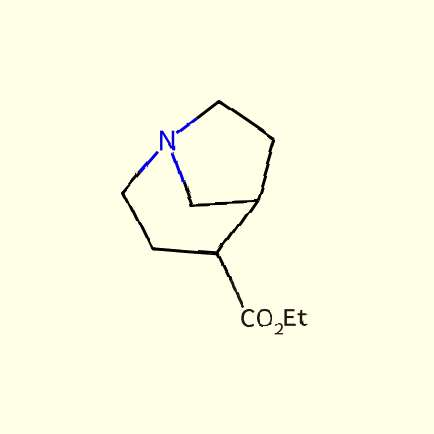 CCOC(=O)C1CCN2CCC1C2